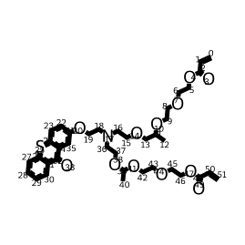 C=CC(=O)OCCOCCOC(C)COCCN(CCOc1ccc2sc3ccccc3c(=O)c2c1)CCOC(C)OCCOCCOC(=O)C=C